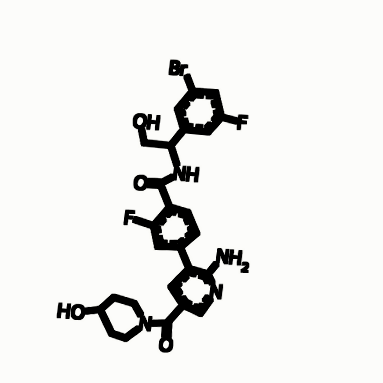 Nc1ncc(C(=O)N2CCC(O)CC2)cc1-c1ccc(C(=O)NC(CO)c2cc(F)cc(Br)c2)c(F)c1